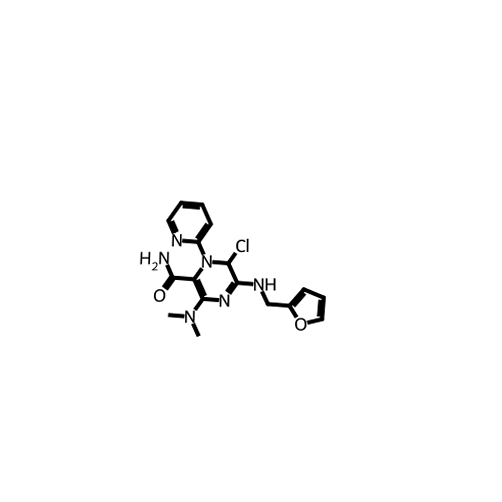 CN(C)C1=C(C(N)=O)N(c2ccccn2)C(Cl)C(NCc2ccco2)=N1